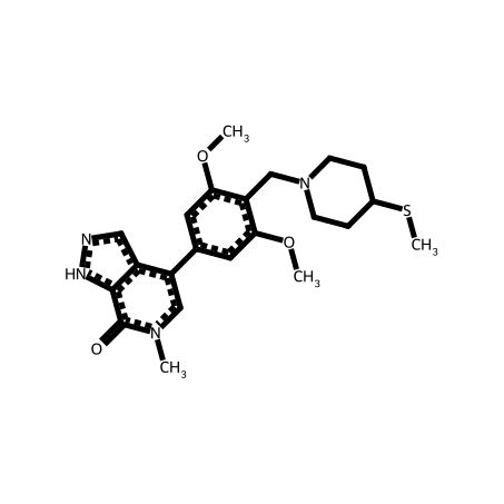 COc1cc(-c2cn(C)c(=O)c3[nH]ncc23)cc(OC)c1CN1CCC(SC)CC1